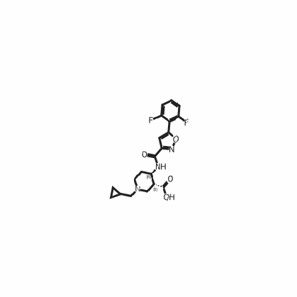 O=C(N[C@@H]1CCN(CC2CC2)C[C@H]1C(=O)O)c1cc(-c2c(F)cccc2F)on1